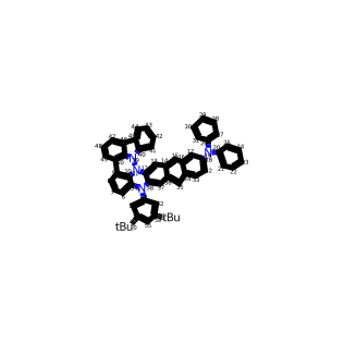 CC(C)(C)c1cc(-n2c3cccc4c3-n(c3cc5cc6cc(N(c7ccccc7)c7ccccc7)ccc6cc5cc32)n2c3ccccc3c3cccc4c32)cc(C(C)(C)C)c1